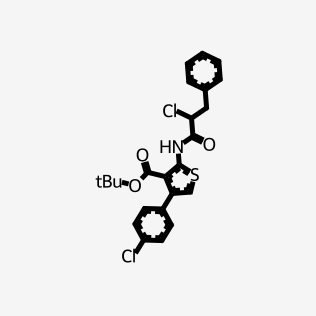 CC(C)(C)OC(=O)c1c(-c2ccc(Cl)cc2)csc1NC(=O)C(Cl)Cc1ccccc1